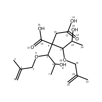 C=C(C)COC(C(C)O)C(CC(=O)O)(C(=O)O)C(OCC(=C)C)C(C)O